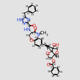 CN1C(=O)[C@@H](NC(=O)c2n[nH]c(Cc3ccccc3)n2)COc2ccc(C#C[C@@]3(O)CO[C@@H]4[C@@H](OC(=O)c5ccccc5)CO[C@@H]43)cc21